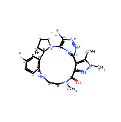 COc1c2c(nn1C)C(=O)N(C)CCNc1ccc(F)cc1[C@H]1CCCN1c1nc-2nnc1N